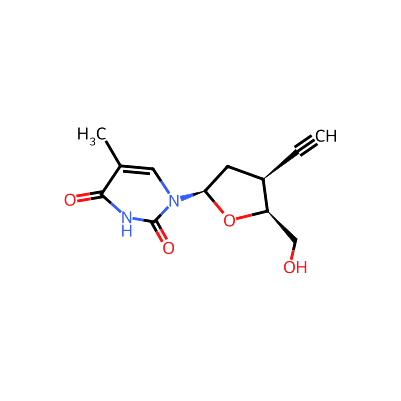 C#C[C@@H]1C[C@H](n2cc(C)c(=O)[nH]c2=O)O[C@@H]1CO